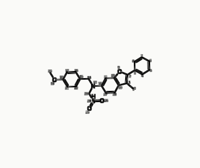 [CH2]c1c(-c2ccccc2)oc2cc(N(Cc3ccc(OC)cc3)C[SH](=O)=O)ccc12